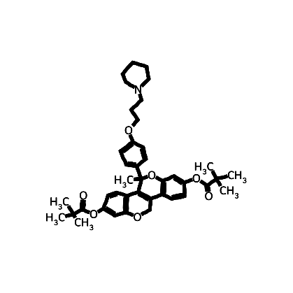 CC(C)(C)C(=O)Oc1ccc2c(c1)OC(C)(c1ccc(OCCCN3CCCCC3)cc1)C1=C2COc2cc(OC(=O)C(C)(C)C)ccc21